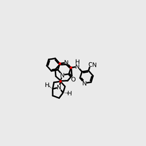 N#Cc1ccncc1Nc1nc2ccccc2n([C@H]2C[C@H]3CC[C@@H](C2)N3C2CCCCCCC2)c1=O